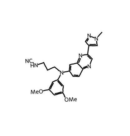 COc1cc(OC)cc(N(CCCNC#N)c2ccc3ncc(-c4cnn(C)c4)nc3c2)c1